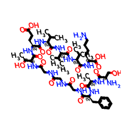 CC(C)[C@H](NC(=O)[C@H](CCC(=O)O)NC(=O)[C@@H](NC(=O)CNC(=O)CNC(=O)CNC(=O)[C@H](Cc1ccccc1)NC(=O)[C@H](C)NC(=O)[C@@H](N)CO)[C@@H](C)O)C(=O)N[C@H](C(=O)N[C@H](C(=O)N[C@@H](CCCCN)C(=O)O)C(C)C)C(C)C